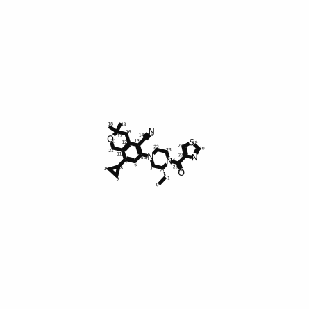 CC[C@@H]1CN(c2cc(C3CC3)c3c(c2C#N)CC(C)(C)OC3)CCN1C(=O)c1cscn1